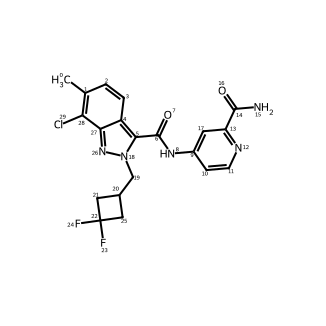 Cc1ccc2c(C(=O)Nc3ccnc(C(N)=O)c3)n(CC3CC(F)(F)C3)nc2c1Cl